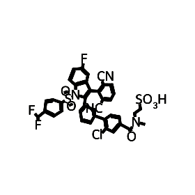 CN(CCS(=O)(=O)O)C(=O)c1ccc(-c2cccc(-c3c(-c4c(C#N)cccc4C#N)c4cc(F)ccc4n3S(=O)(=O)c3ccc(C(F)F)cc3)c2)c(Cl)c1